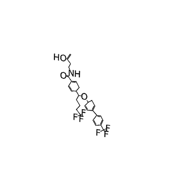 C=C(O)CCNC(=O)C1=CCC(C(CCCC(F)(F)F)OC2C=CC(c3ccc(C(F)(F)F)cc3)=CC2)C=C1